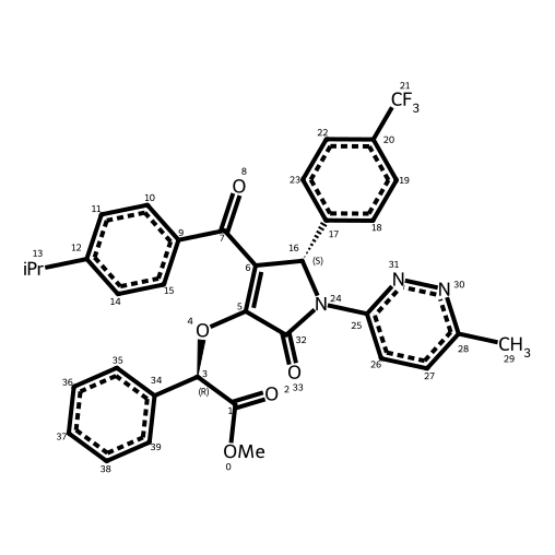 COC(=O)[C@H](OC1=C(C(=O)c2ccc(C(C)C)cc2)[C@H](c2ccc(C(F)(F)F)cc2)N(c2ccc(C)nn2)C1=O)c1ccccc1